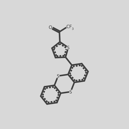 O=C(c1ccc(-c2cccc3c2Sc2ccccc2S3)s1)C(F)(F)F